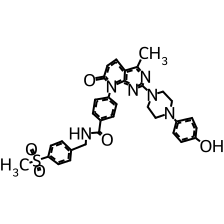 Cc1nc(N2CCN(c3ccc(O)cc3)CC2)nc2c1ccc(=O)n2-c1ccc(C(=O)NCc2ccc(S(C)(=O)=O)cc2)cc1